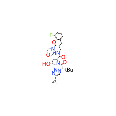 CC(C)(C)[C@@H](C(=O)N1CC(O)CC1C(=O)NCC(Cc1cccc(F)c1)C(=O)N1CCOCC1)n1cc(C2CC2)nn1